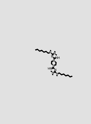 CCCCCCCN(C)/C(=N/C(=N)N1CCN(C(=N)/N=C(\N(C)C)N(C)CCCCCCC)CC1)N(C)C